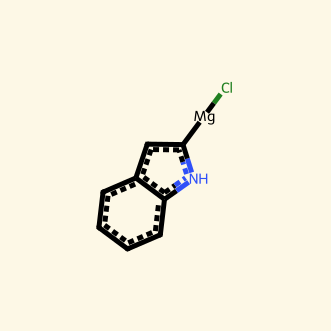 [Cl][Mg][c]1cc2ccccc2[nH]1